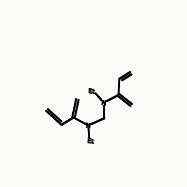 C=CC(=C)N(CC)CN(CC)C(=C)C=C